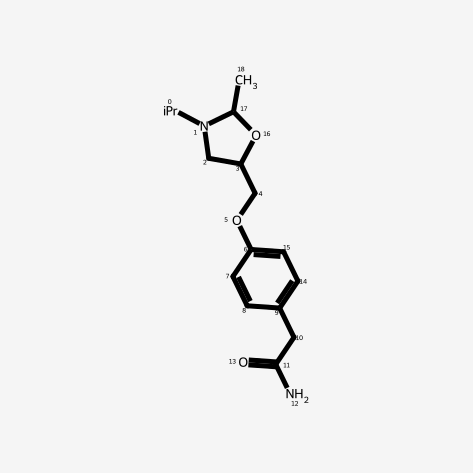 CC(C)N1CC(COc2ccc(CC(N)=O)cc2)OC1C